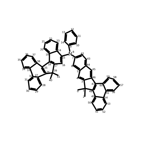 CC1(C)c2cc3cc(N(c4ccccc4)c4cc5c(c6ccccc46)-c4c(c6ccccc6c6ccccc46)C5(C)C)ccc3cc2-c2c1c1ccccc1c1ccccc21